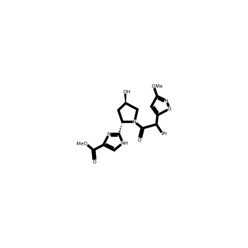 COC(=O)c1c[nH]c([C@@H]2C[C@@H](O)CN2C(=O)C(c2cc(OC)no2)C(C)C)n1